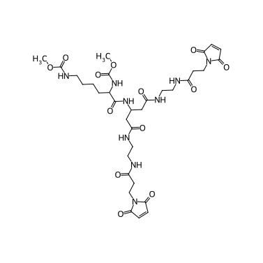 COC(=O)NCCCCC(NC(=O)OC)C(=O)NC(CC(=O)NCCNC(=O)CCN1C(=O)C=CC1=O)CC(=O)NCCNC(=O)CCN1C(=O)C=CC1=O